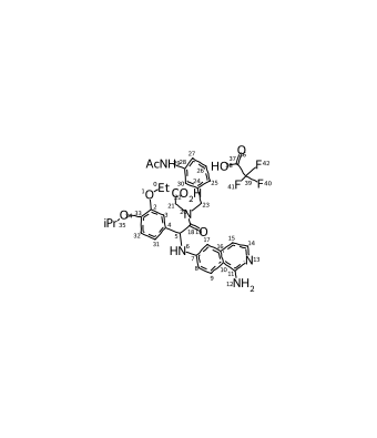 CCOc1cc(C(Nc2ccc3c(N)nccc3c2)C(=O)N(CC(=O)O)Cc2cccc(NC(C)=O)c2)ccc1OC(C)C.O=C(O)C(F)(F)F